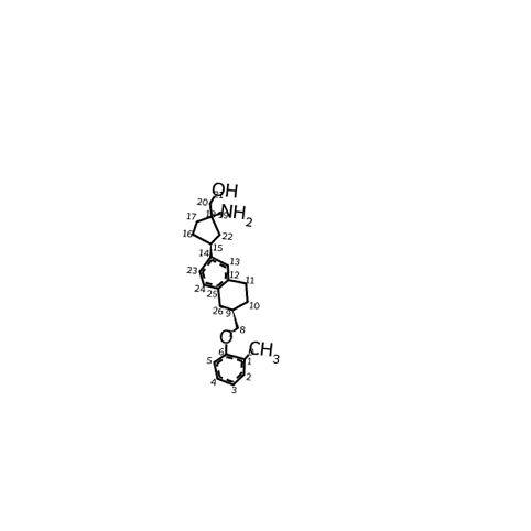 Cc1ccccc1OC[C@@H]1CCc2cc([C@H]3CC[C@](N)(CO)C3)ccc2C1